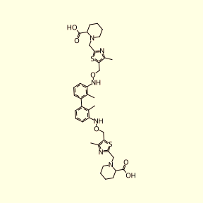 Cc1nc(CN2CCCCC2C(=O)O)sc1CONc1cccc(-c2cccc(NOCc3sc(CN4CCCCC4C(=O)O)nc3C)c2C)c1C